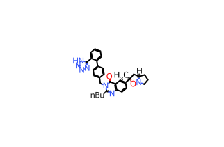 CCCCc1nc2ccc([C@]3(C)C[C@H]4CCCN4O3)cc2c(=O)n1Cc1ccc(-c2ccccc2-c2nnn[nH]2)cc1